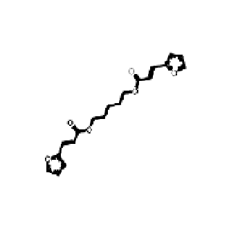 O=C(C=Cc1ccco1)OCCCCCOC(=O)C=Cc1ccco1